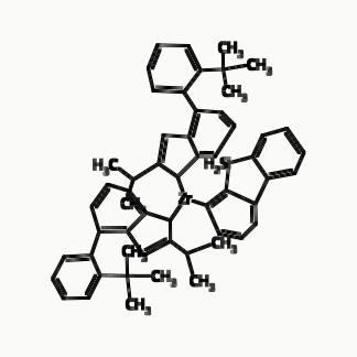 CC(C)C1=Cc2c(-c3ccccc3C(C)(C)C)cccc2[CH]1[Zr]([c]1cccc2c1[SiH2]c1ccccc1-2)[CH]1C(C(C)C)=Cc2c(-c3ccccc3C(C)(C)C)cccc21